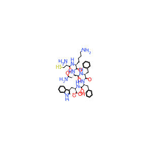 NCCCC[C@H](NC(=O)[C@@H](N)CS)C(=O)N[C@@H](CC(N)=O)C(=O)N[C@@H](Cc1ccccc1)C(=O)N[C@@H](Cc1ccccc1)C(=O)N[C@H](Cc1c[nH]c2ccccc12)C(=O)O